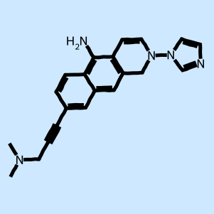 CN(C)CC#Cc1ccc2c(N)c3c(cc2c1)CN(n1ccnc1)C=C3